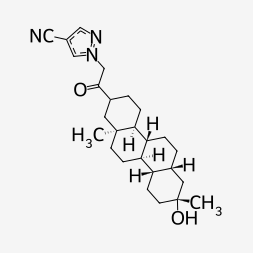 C[C@@]1(O)CC[C@H]2[C@H](CC[C@@H]3[C@@H]2CC[C@@]2(C)CC(C(=O)Cn4cc(C#N)cn4)CC[C@@H]32)C1